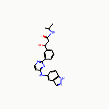 CC(C)NC(=O)CC(O)c1cccc(-c2nccc(Nc3ccc4[nH]ncc4c3)n2)c1